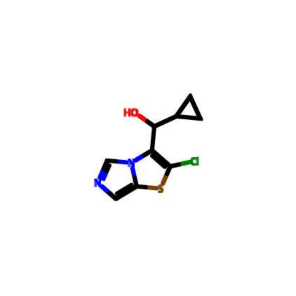 OC(c1c(Cl)sc2cncn12)C1CC1